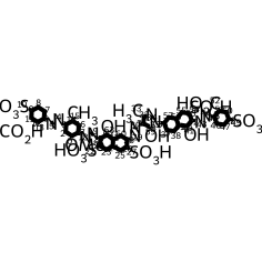 COc1cc(/N=N/c2ccc(S(=O)(=O)O)cc2C(=O)O)c(C)cc1/N=N/c1c(S(=O)(=O)O)cc2cc(S(=O)(=O)O)c(/N=N/c3c(C)nn(-c4ccc5c(O)c(/N=N/c6ccc(S(=O)(=O)O)cc6C(=O)O)c(S(=O)(=O)O)cc5c4)c3O)cc2c1O